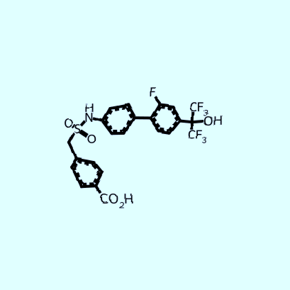 O=C(O)c1ccc(CS(=O)(=O)Nc2ccc(-c3ccc(C(O)(C(F)(F)F)C(F)(F)F)cc3F)cc2)cc1